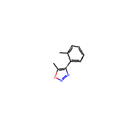 [CH2]c1ccccc1-c1nnoc1C